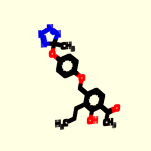 CCCc1c(COc2ccc(OC3(C)N=NN=N3)cc2)ccc(C(C)=O)c1O